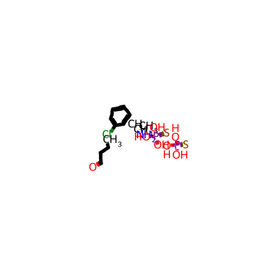 C.C.CCCC=O.CN.Clc1ccccc1.OP(O)(O)=S.OP(O)(O)=S